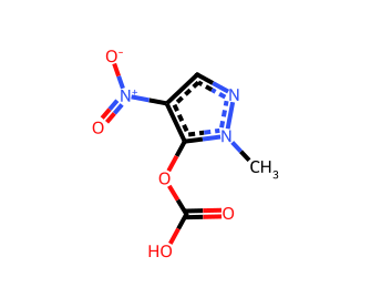 Cn1ncc([N+](=O)[O-])c1OC(=O)O